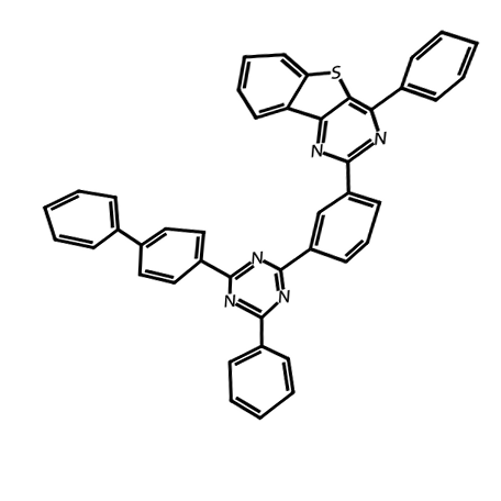 c1ccc(-c2ccc(-c3nc(-c4ccccc4)nc(-c4cccc(-c5nc(-c6ccccc6)c6sc7ccccc7c6n5)c4)n3)cc2)cc1